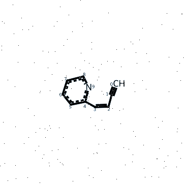 C#C/C=C\c1ccccn1